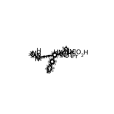 CC(C)[C@H](NC(=O)O)C(=O)N1CCCC1c1ncc(-c2ccc(C#CC#Cc3cnc(C4CCCN4)[nH]3)c(-c3ccc(N4CCN(C)CC4)cc3)c2)[nH]1